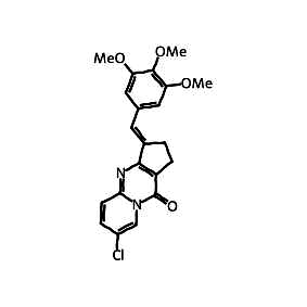 COc1cc(C=C2CCc3c2nc2ccc(Cl)cn2c3=O)cc(OC)c1OC